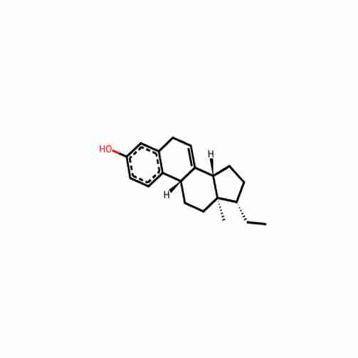 CC[C@H]1CC[C@H]2C3=CCc4cc(O)ccc4[C@H]3CC[C@]12C